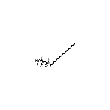 CCCCCCCCCCCCCCCCC(C)NC(=O)C[C@H](N)C(=O)O